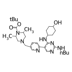 CCCCNc1ncc(-c2ccc(CN3CC(C)N(C(=O)OC(C)(C)C)C(C)C3)cn2)c(NC2CCC(O)CC2)n1